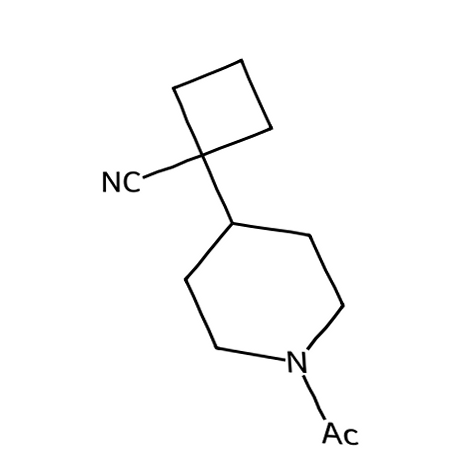 CC(=O)N1CCC(C2(C#N)CCC2)CC1